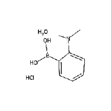 CN(C)c1ccccc1B(O)O.Cl.O